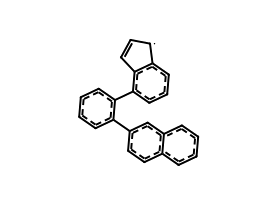 [CH]1C=Cc2c1cccc2-c1ccccc1-c1ccc2ccccc2c1